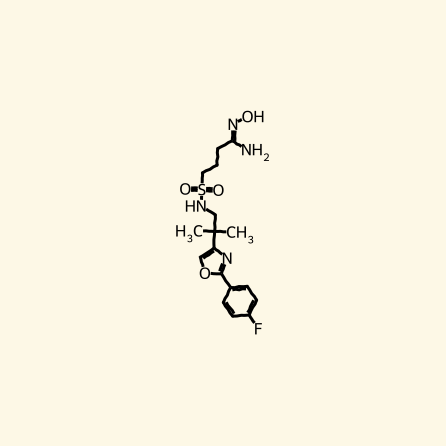 CC(C)(CNS(=O)(=O)CCC/C(N)=N/O)c1coc(-c2ccc(F)cc2)n1